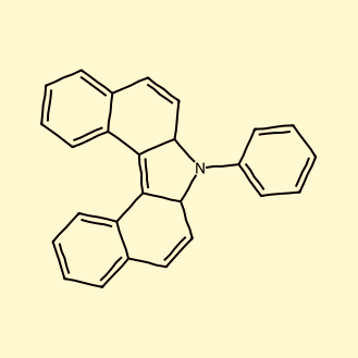 C1=CC2C(=C3c4ccccc4C=CC3N2c2ccccc2)c2ccccc21